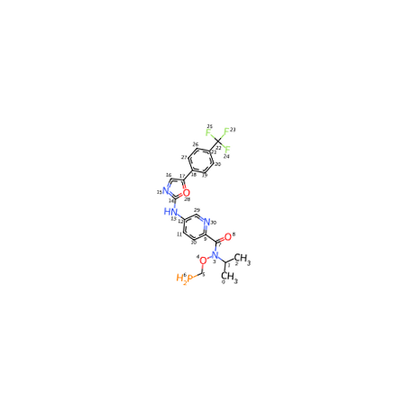 CC(C)N(OCP)C(=O)c1ccc(Nc2ncc(-c3ccc(C(F)(F)F)cc3)o2)cn1